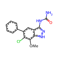 COc1c(Cl)c(-c2ccccc2)cc2c(NC(N)=O)n[nH]c12